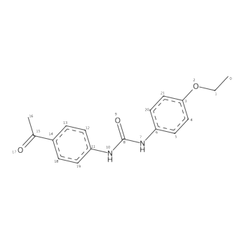 CCOc1ccc(NC(=O)Nc2ccc(C(C)=O)cc2)cc1